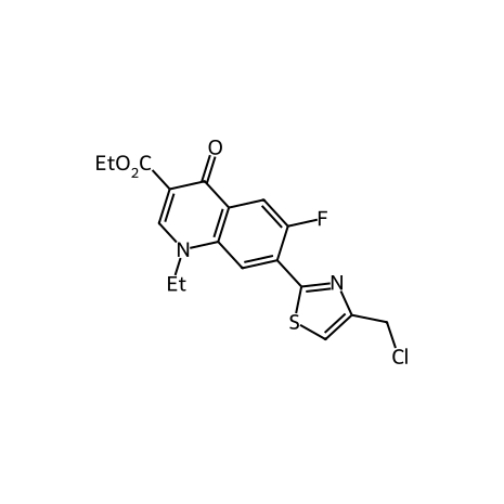 CCOC(=O)c1cn(CC)c2cc(-c3nc(CCl)cs3)c(F)cc2c1=O